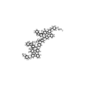 C=Cc1ccc(Oc2ccc(C3(c4cc(F)c(F)c(F)c4)c4ccccc4-c4ccc(N(c5ccc6c(c5)C(C)(C)c5cc(N(c7ccc8c(c7)C(c7ccc(Oc9ccc(C=C)cc9)cc7)(c7cc(F)c(F)c(F)c7)c7ccccc7-8)c7ccc8c(c7)oc7ccccc78)ccc5-6)c5ccc6c(c5)oc5ccccc56)cc43)cc2)cc1